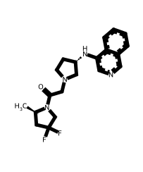 C[C@@H]1CC(F)(F)CN1C(=O)CN1CC[C@H](Nc2cncc3ccccc23)C1